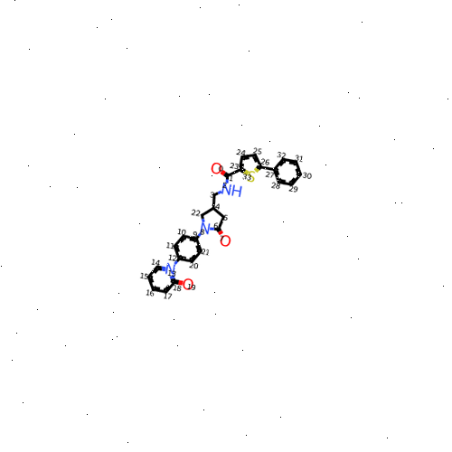 O=C(NCC1CC(=O)N(c2ccc(-n3ccccc3=O)cc2)C1)c1ccc(-c2ccccc2)s1